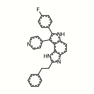 Fc1ccc(-c2[nH]c3ccc4nc(CCc5ccccc5)[nH]c4c3c2-c2ccncc2)cc1